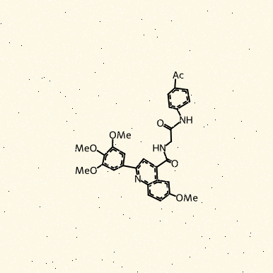 COc1ccc2nc(-c3cc(OC)c(OC)c(OC)c3)cc(C(=O)NCC(=O)Nc3ccc(C(C)=O)cc3)c2c1